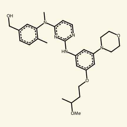 COC(C)CCOc1cc(Nc2nccc(N(C)c3cc(CO)ccc3C)n2)cc(N2CCOCC2)c1